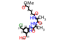 COC(=O)CCCCC(=O)N[C@@H](C)C(=O)N[C@@H](C)C(=O)Nc1cc(CO)cc(CCl)c1